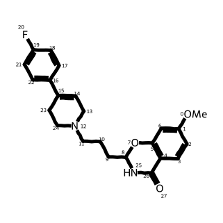 COc1ccc2c(c1)OC(CCCN1CC=C(c3ccc(F)cc3)CC1)NC2=O